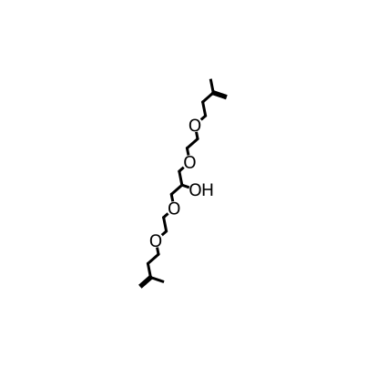 C=C(C)CCOCCOCC(O)COCCOCCC(=C)C